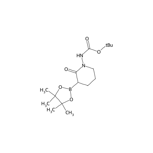 CC(C)(C)OC(=O)NN1CCCC(B2OC(C)(C)C(C)(C)O2)C1=O